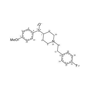 COc1ccc([S+]([O-])C2CCN(CCc3ccc(F)cc3)CC2)cc1